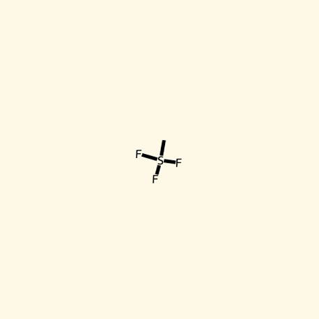 CS(F)(F)F